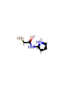 O=C(CS)Nc1ccc[nH]1